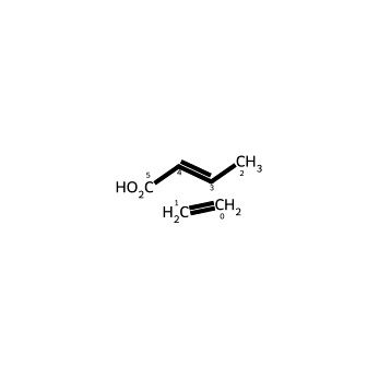 C=C.CC=CC(=O)O